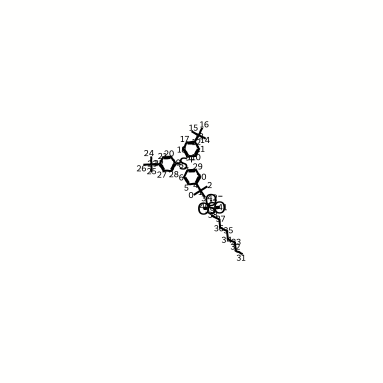 CC(C)(C)c1ccc([S+](c2ccc(C(C)(C)C)cc2)c2ccc(C(C)(C)C)cc2)cc1.CCCCCCCCS(=O)(=O)[O-]